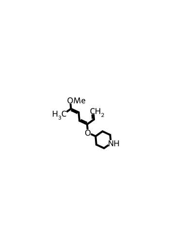 C=C/C(=C\C=C(/C)OC)OC1CCNCC1